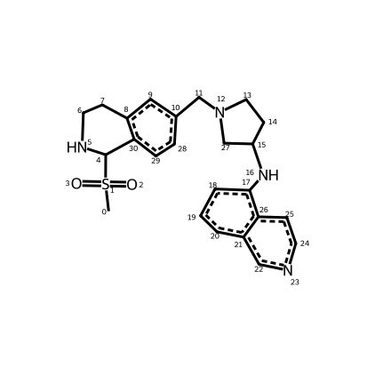 CS(=O)(=O)C1NCCc2cc(CN3CCC(Nc4cccc5cnccc45)C3)ccc21